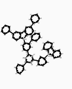 c1ccc(-c2ccc3c(c2)c2cc(-c4ccccc4)ccc2n3-c2ccc(-c3nc(-c4ccccc4)nc(-c4cccc(-n5c6ccccc6c6ccccc65)c4)n3)cc2-c2ccccc2)cc1